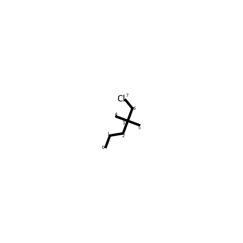 CCCC(C)(C)CCl